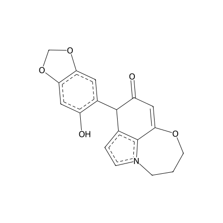 O=C1C=C2OCCCn3ccc(c32)C1c1cc2c(cc1O)OCO2